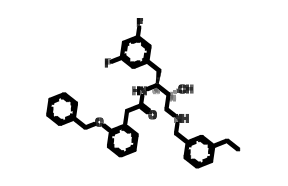 CCc1cccc(CNC[C@@H](O)[C@H](Cc2cc(F)cc(F)c2)NC(=O)Cc2ccccc2OCc2ccccc2)c1